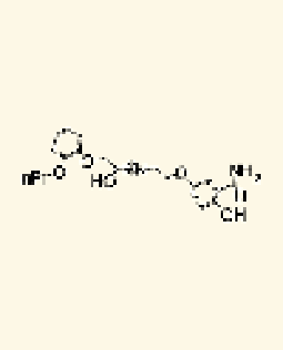 CCCOc1ccccc1OCC(O)CNCCOc1ccc(O)c(C(N)=O)c1